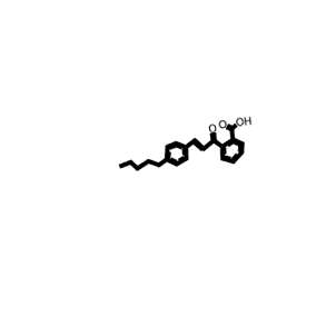 CCCCCc1ccc(C=CC(=O)c2ccccc2C(=O)O)cc1